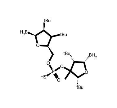 B[C@@H]1O[C@H](CO[P@](=O)(S)OC2(C)[C@@H](C(C)(C)C)O[C@@H](B)[C@H]2C(C)(C)C)C(C(C)(C)C)[C@@H]1C(C)(C)C